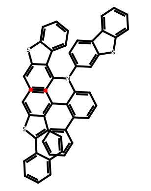 c1ccc(-c2cccc(N(c3ccc4c(c3)sc3ccccc34)c3cccc4sc5ccccc5c34)c2-c2cccc3sc4c5ccccc5ccc4c23)cc1